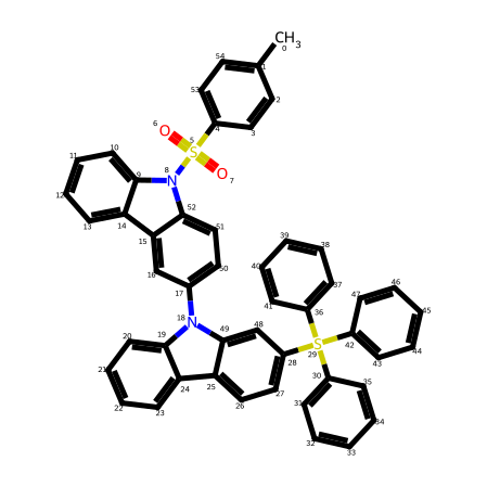 Cc1ccc(S(=O)(=O)n2c3ccccc3c3cc(-n4c5ccccc5c5ccc(S(c6ccccc6)(c6ccccc6)c6ccccc6)cc54)ccc32)cc1